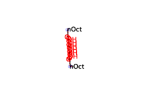 CCCCCCCC/C=C\CCCCCCCC(=O)OCC(O)COCC(O)COCC(O)COCC(O)COCC(O)COCC(O)COC(=O)CCCCCCC/C=C\CCCCCCCC